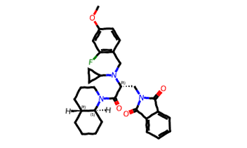 COc1ccc(CN(C2CC2)[C@H](CN2C(=O)c3ccccc3C2=O)C(=O)N2CCC[C@H]3CCCC[C@@H]32)c(F)c1